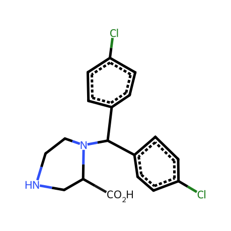 O=C(O)C1CNCCN1C(c1ccc(Cl)cc1)c1ccc(Cl)cc1